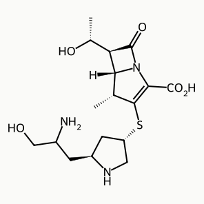 C[C@@H](O)[C@H]1C(=O)N2C(C(=O)O)=C(S[C@@H]3CN[C@@H](CC(N)CO)C3)[C@H](C)[C@H]12